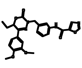 CCC1OC(=O)N(Cc2cccc(NC(=O)c3cnco3)c2)N=C1c1ccc(OC)c(OC)c1